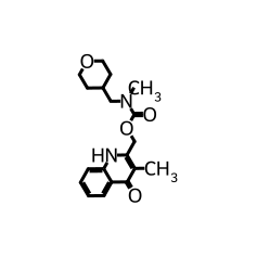 Cc1c(COC(=O)N(C)CC2CCOCC2)[nH]c2ccccc2c1=O